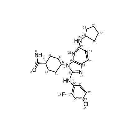 NC(=O)[C@H]1CC[C@H](n2c(Nc3ccc(Cl)cc3F)nc3cnc(NC4CCCC4)nc32)CC1